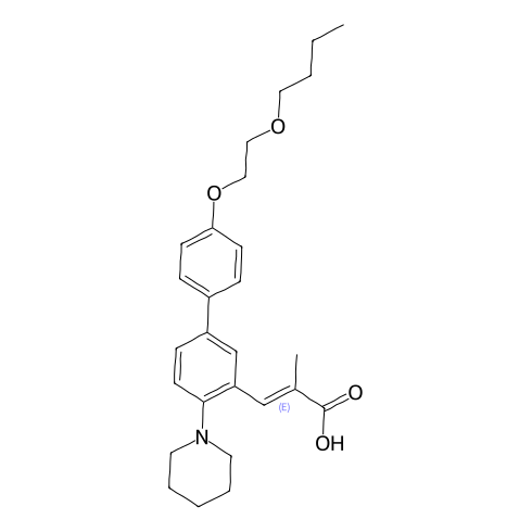 CCCCOCCOc1ccc(-c2ccc(N3CCCCC3)c(/C=C(\C)C(=O)O)c2)cc1